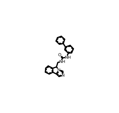 O=C(NCC1c2ccccc2-c2cncn21)Nc1cccc(-c2ccccc2)c1